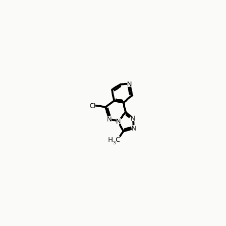 Cc1nnc2c3cnccc3c(Cl)nn12